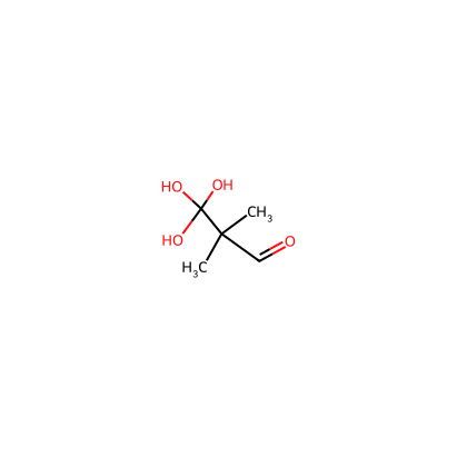 CC(C)(C=O)C(O)(O)O